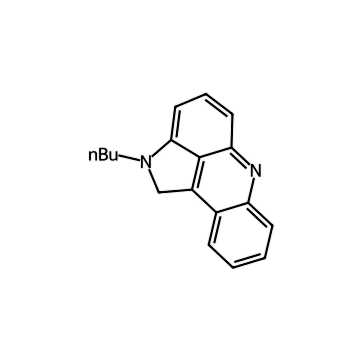 CCCCN1Cc2c3ccccc3nc3cccc1c23